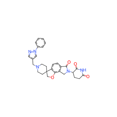 O=C1CCC(N2Cc3c(ccc4c3OCC43CCN(Cc4cnn(-c5ccccc5)c4)CC3)C2=O)C(=O)N1